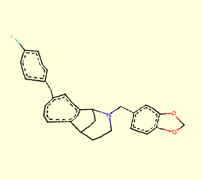 Fc1ccc(-c2ccc3c(c2)C2CC3CCN2Cc2ccc3c(c2)OCO3)cc1